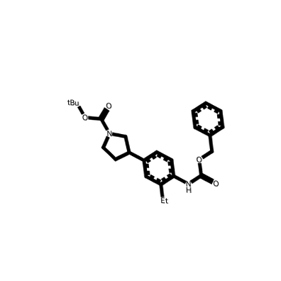 CCc1cc(C2CCN(C(=O)OC(C)(C)C)C2)ccc1NC(=O)OCc1ccccc1